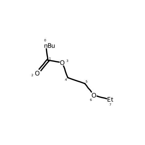 [CH2]CCCC(=O)OCCOCC